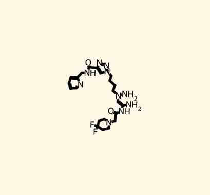 N/C(=C\N(N)CCCCn1cc(C(=O)NCc2ccccn2)nn1)NC(=O)CN1CCC(F)(F)CC1